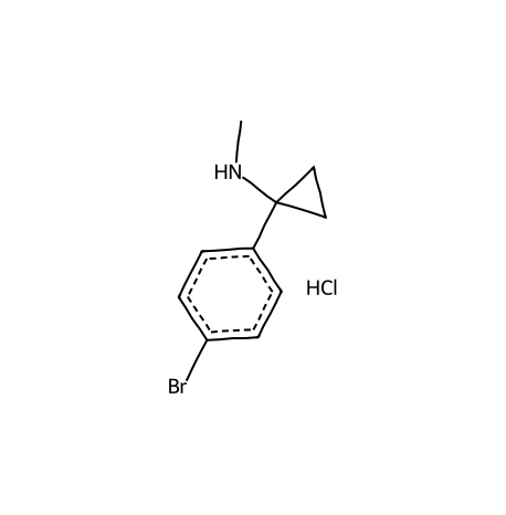 CNC1(c2ccc(Br)cc2)CC1.Cl